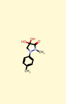 Cc1ccc(N2CC(O)(O)C(=O)N2C)cc1